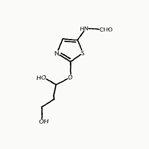 O=CNc1cnc(OC(O)CCO)s1